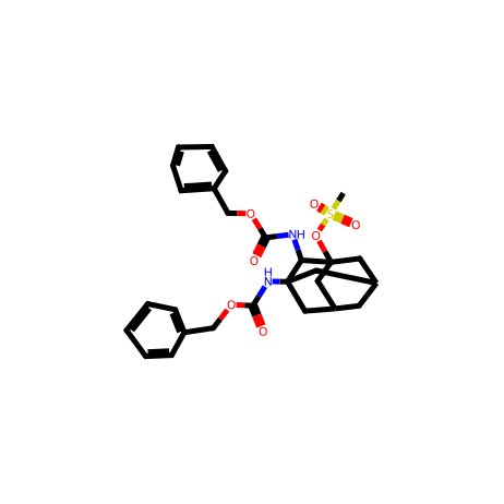 CS(=O)(=O)OC12CC3CC(CC(NC(=O)OCc4ccccc4)(C3)C1NC(=O)OCc1ccccc1)C2